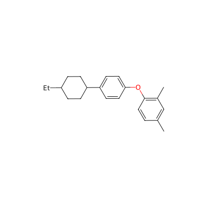 CCC1CCC(c2ccc(Oc3ccc(C)cc3C)cc2)CC1